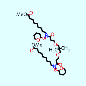 COC(=O)CCCCCCCCN(OC1CCCCO1)C(=O)CCOCC(C)(C)COCCC(=O)N(CCCCCCCCC(=O)OC)OC1CCCCO1